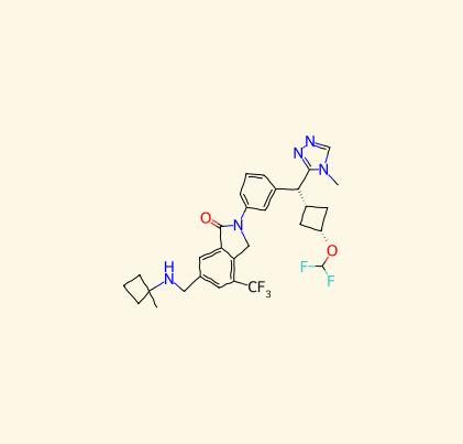 Cn1cnnc1C(c1cccc(N2Cc3c(cc(CNC4(C)CCC4)cc3C(F)(F)F)C2=O)c1)[C@H]1C[C@@H](OC(F)F)C1